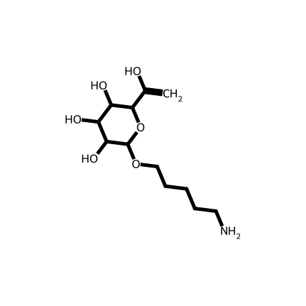 C=C(O)C1OC(OCCCCCN)C(O)C(O)C1O